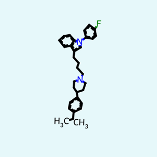 CC(C)c1ccc(C2CCN(CCCCc3cn(-c4ccc(F)cc4)c4ccccc34)CC2)cc1